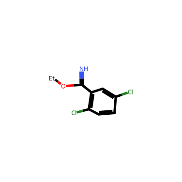 CCOC(=N)c1cc(Cl)ccc1Cl